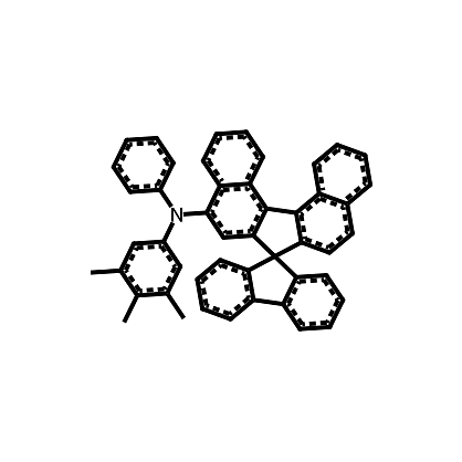 Cc1cc(N(c2ccccc2)c2cc3c(c4ccccc24)-c2c(ccc4ccccc24)C32c3ccccc3-c3ccccc32)cc(C)c1C